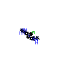 Clc1ccc(N2[C@@H](c3ccc4nc([C@@H]5CCCN5)[nH]c4c3)CC[C@@H]2c2ccc3nc([C@@H]4CCCN4)[nH]c3c2)cc1